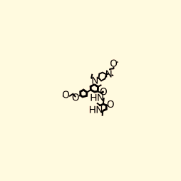 CCN(c1cc(-c2ccc(OCCOC)cc2)cc(C(=O)NCc2c(C)[nH]c(C)cc2=O)c1C)C1CCC(N(C)CCOC)CC1